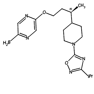 Bc1cnc(OCC[C@@H](C)C2CCN(c3nc(C(C)C)no3)CC2)cn1